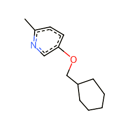 Cc1ccc(OCC2CCCCC2)cn1